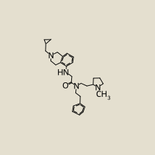 CN1CCCC1CCN(CCc1ccccc1)C(=O)CNc1cccc2c1CCN(CC1CC1)C2